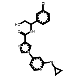 O=C(NC(CO)c1cccc(Cl)c1)c1cn(-c2ccnc(NC3CC3)c2)cn1